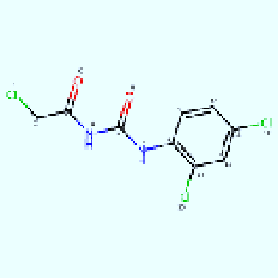 O=C(CCl)NC(=O)Nc1ccc(Cl)cc1Cl